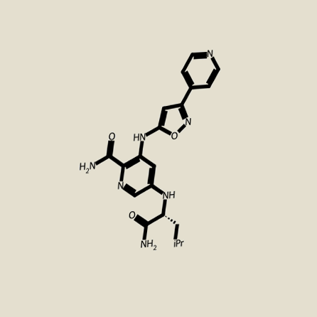 CC(C)C[C@@H](Nc1cnc(C(N)=O)c(Nc2cc(-c3ccncc3)no2)c1)C(N)=O